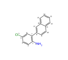 Nc1ccc(Cl)cc1-c1ccc2ccccc2c1